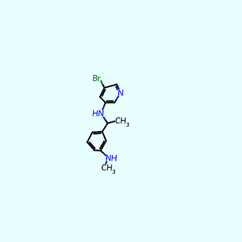 CNc1cccc(C(C)Nc2cncc(Br)c2)c1